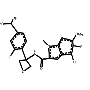 COc1cc2c(cc(C(=O)NC3(c4ccc(C(O)O)cc4F)COC3)n2C)c(Cl)c1F